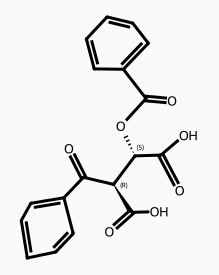 O=C(O[C@H](C(=O)O)[C@@H](C(=O)O)C(=O)c1ccccc1)c1ccccc1